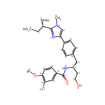 CC(=O)N[C@H](CC(=O)O)c1nc(-c2ccc(C[C@@H](CCO)NC(=O)c3ccc(OC(C)C)c(Cl)c3)cc2)cn1C